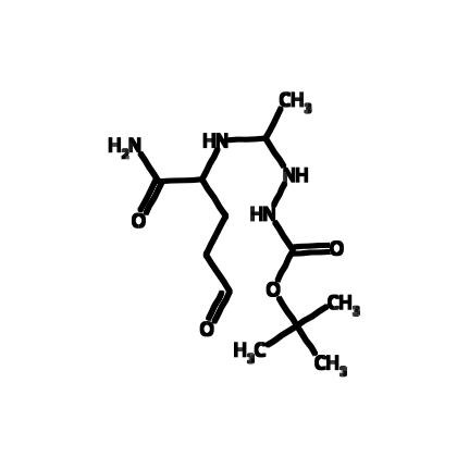 CC(NNC(=O)OC(C)(C)C)NC(CCC=O)C(N)=O